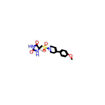 COc1ccc(C2=CCN(S(=O)(=O)C[C@@]3(C)NC(=O)NC3=O)CC2)cc1